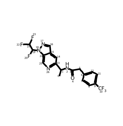 CC(NC(=O)Cc1ccc(C(F)(F)F)cc1)c1cc2cnn(C(F)C(F)F)c2cn1